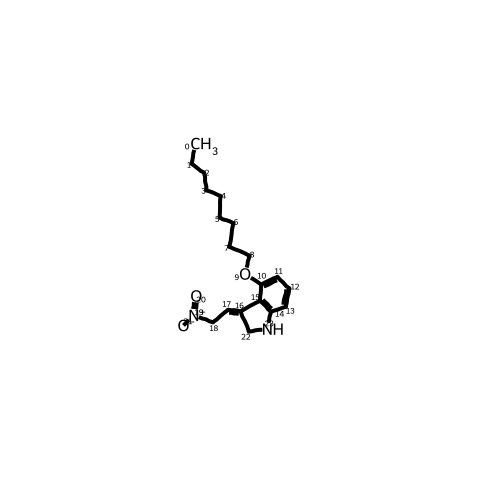 CCCCCCCCCOc1cccc2c1C(=CC[N+](=O)[O-])CN2